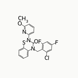 COc1cccc(N2Sc3ccccc3N(Cc3c(F)cc(F)cc3Cl)C2=O)n1